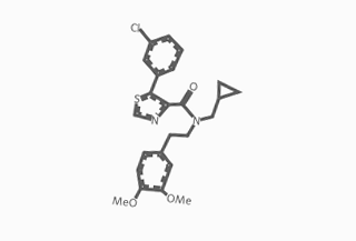 COc1ccc(CCN(CC2CC2)C(=O)c2ncsc2-c2cccc(Cl)c2)cc1OC